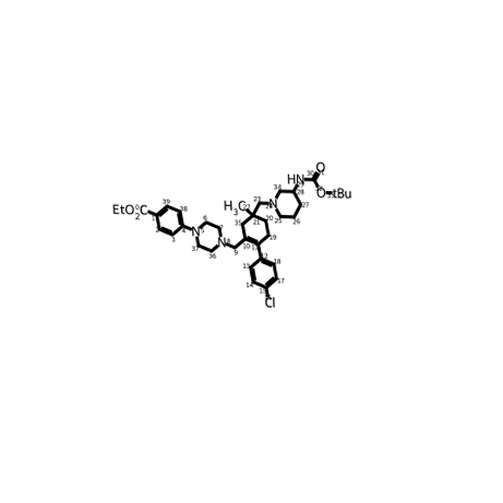 CCOC(=O)c1ccc(N2CCN(CC3=C(c4ccc(Cl)cc4)CCC(C)(CN4CCCC(NC(=O)OC(C)(C)C)C4)C3)CC2)cc1